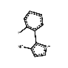 N#Cc1cc[nH]c1-c1ccccc1F